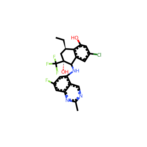 CC[C@@H]1C[C@](O)(C(F)(F)F)C(Nc2cc(F)cc3nc(C)ncc23)c2cc(Cl)cc(O)c21